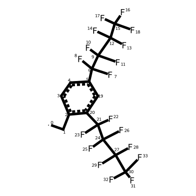 [CH2]Cc1ccc(C(F)(F)C(F)(F)C(F)(F)C(F)(F)F)cc1C(F)(F)C(F)(F)C(F)(F)C(F)(F)F